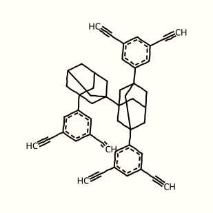 C#Cc1cc(C#C)cc(C23CC4CC(C2)CC(C25CC6CC(c7cc(C#C)cc(C#C)c7)(CC(c7cc(C#C)cc(C#C)c7)(C6)C2)C5)(C4)C3)c1